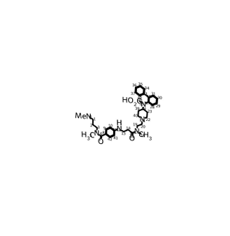 CNCCCN(C)C(=O)c1ccc(NCCC(=O)N(C)CCN2CCC(N(C(=O)O)c3ccccc3-c3ccccc3)CC2)cc1